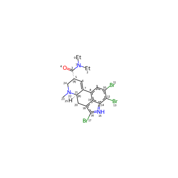 CCN(CC)C(=O)[C@@H]1C=C2c3cc(Br)c(Br)c4[nH]c(Br)c(c34)C[C@H]2N(C)C1